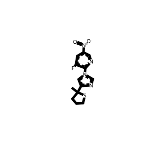 CC1(c2cn(-c3ncc([N+](=O)[O-])cc3F)cn2)CCCS1